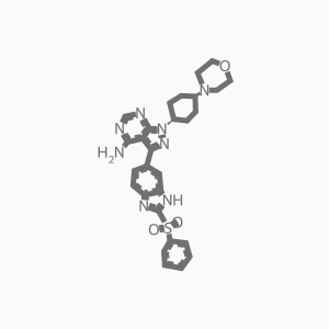 Nc1ncnc2c1c(-c1ccc3nc(S(=O)(=O)c4ccccc4)[nH]c3c1)nn2[C@H]1CC[C@H](N2CCOCC2)CC1